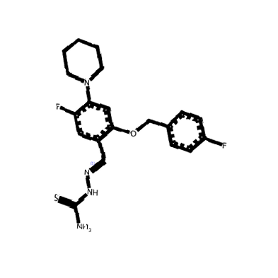 NC(=S)N/N=C/c1cc(F)c(N2CCCCC2)cc1OCc1ccc(F)cc1